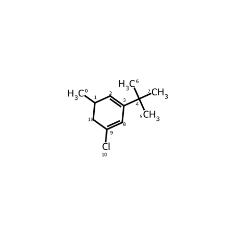 CC1C=C(C(C)(C)C)C=C(Cl)C1